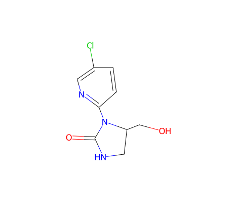 O=C1NCC(CO)N1c1ccc(Cl)cn1